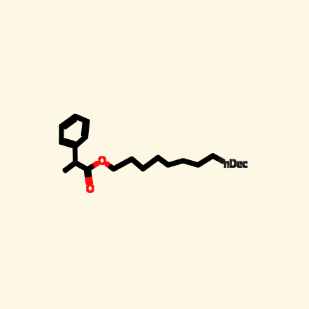 CCCCCCCCCCCCCCCCCCOC(=O)C(C)c1ccccc1